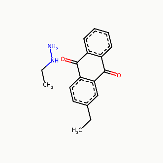 CCNN.CCc1ccc2c(c1)C(=O)c1ccccc1C2=O